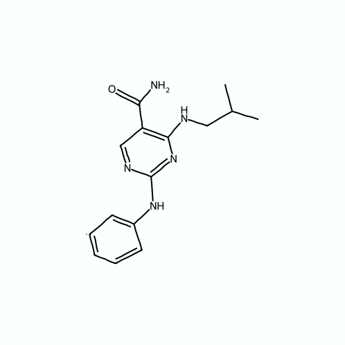 CC(C)CNc1nc(Nc2c[c]ccc2)ncc1C(N)=O